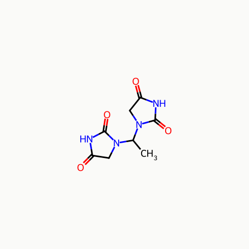 CC(N1CC(=O)NC1=O)N1CC(=O)NC1=O